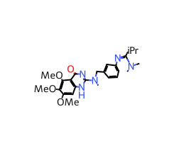 COc1cc2[nH]c(N(C)Cc3cccc(N=C(C(C)C)N(C)C)c3)nc(=O)c2c(OC)c1OC